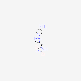 NC1CCN(c2nccc(C=C3NC(=O)NC3=O)n2)CC1